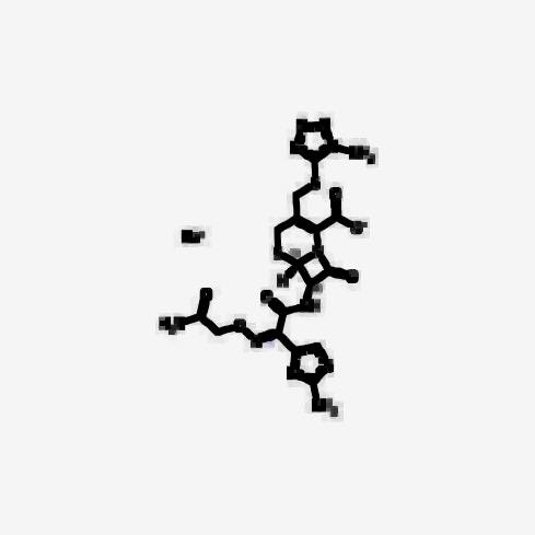 NC(=O)CO/N=C(\C(=O)N[C@@H]1C(=O)N2C(C(=O)[O-])=C(CSc3nnnn3N)CS[C@@H]12)c1csc(N)n1.[Na+]